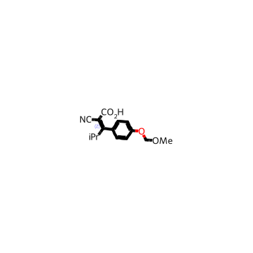 COCOc1ccc(/C(=C(/C#N)C(=O)O)C(C)C)cc1